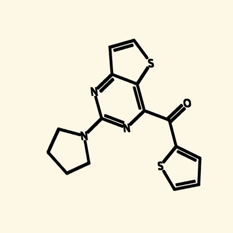 O=C(c1cccs1)c1nc(N2CCCC2)nc2ccsc12